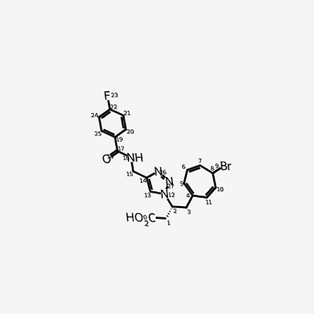 O=C(O)C[C@@H](CC1=CC=CC(Br)C=C1)n1cc(CNC(=O)c2ccc(F)cc2)nn1